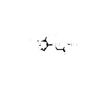 Cn1ncc(NCC(=O)OC(C)(C)C)c1C(=O)O